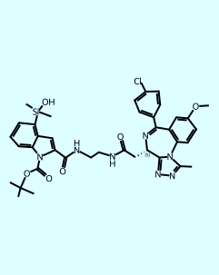 COc1ccc2c(c1)C(c1ccc(Cl)cc1)=N[C@@H](CC(=O)NCCNC(=O)c1cc3c([Si](C)(C)O)cccc3n1C(=O)OC(C)(C)C)c1nnc(C)n1-2